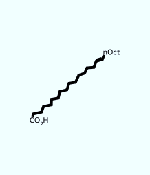 CCCCCCCCC=CCCCCCCCCCCCCCCC(=O)O